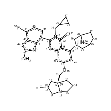 Nc1nc2c(-c3nc4nc(OC[C@@]56CCCN5C[C@H](F)C6)nc(N5CC6CCC(C5)N6)c4c(=O)n3CC3CC3)ccc(F)c2s1